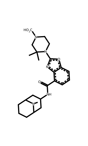 CN1C2CCCC1CC(NC(=O)c1cccc3oc(N4CCN(C(=O)O)CC4(C)C)nc13)C2